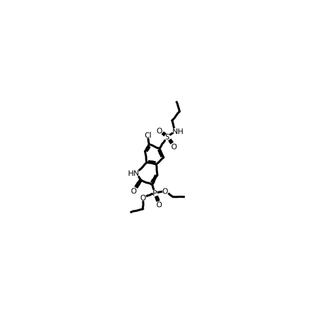 CCCNS(=O)(=O)c1cc2cc(P(=O)(OCC)OCC)c(=O)[nH]c2cc1Cl